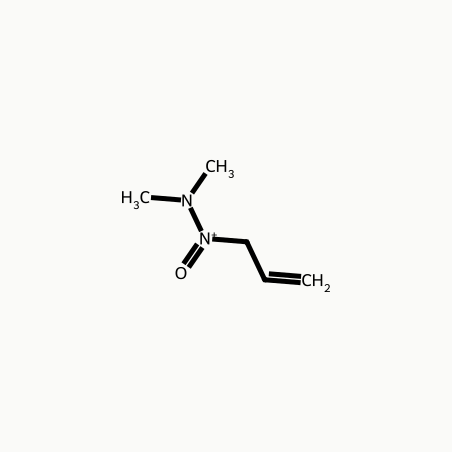 C=CC[N+](=O)N(C)C